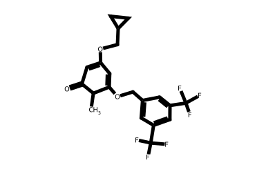 CC1C(=O)C=C(OCC2CC2)C=C1OCc1cc(C(F)(F)F)cc(C(F)(F)F)c1